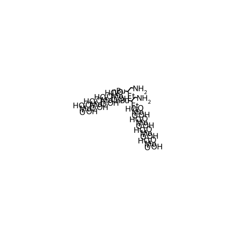 CCCCC(CC)CN.CCCCC(CC)CN.[O]=[Mo](=[O])([OH])[OH].[O]=[Mo](=[O])([OH])[OH].[O]=[Mo](=[O])([OH])[OH].[O]=[Mo](=[O])([OH])[OH].[O]=[Mo](=[O])([OH])[OH].[O]=[Mo](=[O])([OH])[OH].[O]=[Mo](=[O])([OH])[OH].[O]=[Mo](=[O])([OH])[OH]